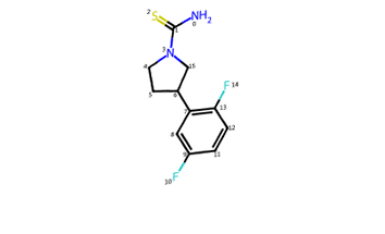 NC(=S)N1CCC(c2cc(F)ccc2F)C1